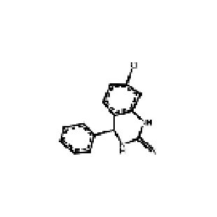 S=C1Nc2cc(Cl)ccc2C(c2ccccc2)N1